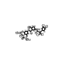 CC(C)(C)OC(=O)N(C(=O)OC(C)(C)C)c1c(F)cc(NC(=O)c2cc(NC(=O)C3C(c4ccc(Cl)c(Cl)c4)C3(Cl)Cl)ccc2Cl)cc1F